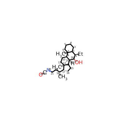 CC[C@@H]1C2CCCCC2(C)C2CC[C@@]3(C)C(CC[C@@H]3[C@H](C)CCN=C=O)[C@@H]2[C@@H]1O